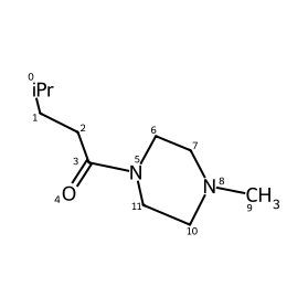 CC(C)CCC(=O)N1CCN(C)CC1